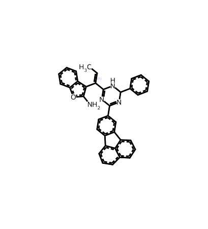 C/C=C(/C1=NC(c2ccc3c(c2)-c2cccc4cccc-3c24)=NC(c2ccccc2)N1)c1c(N)oc2ccccc12